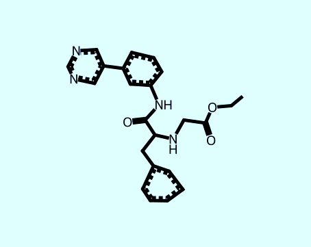 CCOC(=O)CNC(Cc1ccccc1)C(=O)Nc1cccc(-c2cncnc2)c1